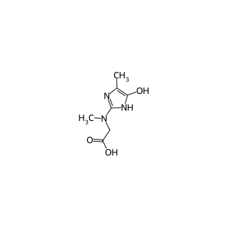 Cc1nc(N(C)CC(=O)O)[nH]c1O